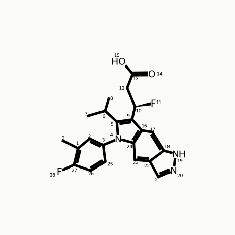 Cc1cc(-n2c(C(C)C)c([C@H](F)CC(=O)O)c3cc4[nH]ncc4cc32)ccc1F